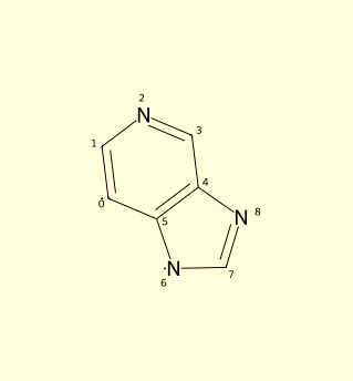 [c]1cncc2c1[N]C=N2